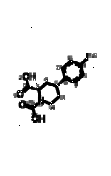 O=C(O)[C@H]1C[C@@H](c2ccc(F)cc2)CCN1C(=O)O